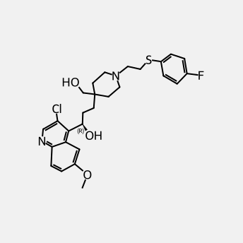 COc1ccc2ncc(Cl)c([C@H](O)CCC3(CO)CCN(CCSc4ccc(F)cc4)CC3)c2c1